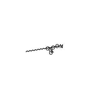 CCCCCCCCCCCCCCCCOCC(COCCOCCN(C)C)OCC(C)=O